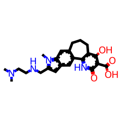 CN(C)CCNCc1cc2cc3c(cc2n1C)CCCc1c-3[nH]c(=O)c(C(=O)O)c1O